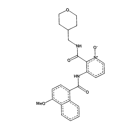 COc1ccc(C(=O)Nc2ccc[n+]([O-])c2C(=O)NCC2CCOCC2)c2ccccc12